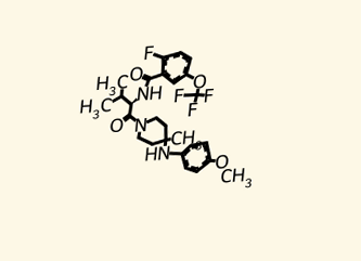 COc1ccc(NC2(C)CCN(C(=O)[C@H](NC(=O)c3cc(OC(F)(F)F)ccc3F)C(C)C)CC2)cc1